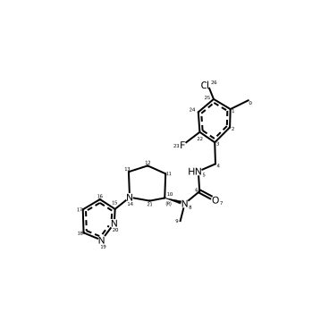 Cc1cc(CNC(=O)N(C)[C@@H]2CCCN(c3cccnn3)C2)c(F)cc1Cl